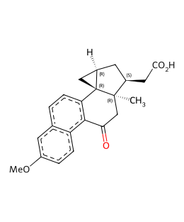 COc1ccc2c3c(ccc2c1)[C@]12C[C@H]1C[C@@H](CC(=O)O)[C@@]2(C)CC3=O